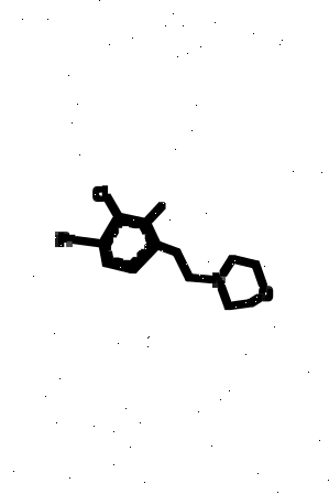 Cc1c(CCN2CCOCC2)ccc(C(C)C)c1Cl